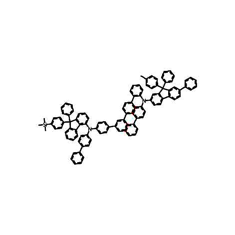 Cc1ccc(C2(c3ccccc3)c3cc(-c4ccccc4)ccc3-c3ccc(N(c4ccc(-c5ccccc5)cc4)c4ccccc4-c4ccc(-c5cccc(-c6ccc(N(c7ccc(-c8ccccc8)cc7)c7cccc8c7-c7ccccc7C8(c7ccccc7)c7ccc([Si](C)(C)C)cc7)cc6)c5)cc4)cc32)cc1